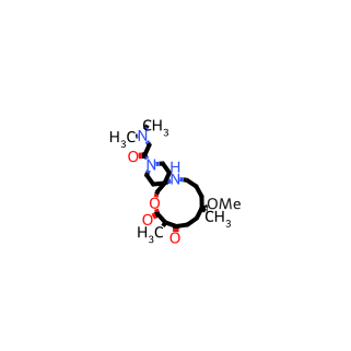 CO[C@]1(C)CCCNC2(CCN(C(=O)CN(C)C)CC2)COC(=O)C(C)C(=O)CC1